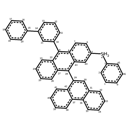 c1ccc([SiH2]c2ccc3c(-c4cccc(-c5ccccc5)c4)c4ccccc4c(-c4cc5ccccc5c5ccccc45)c3c2)cc1